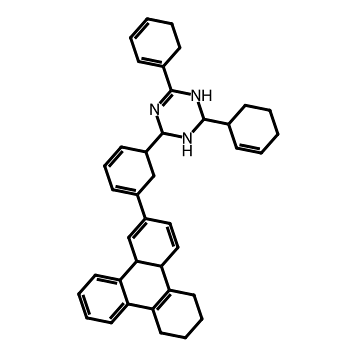 C1=CCCC(C2=NC(C3C=CC=C(C4=CC5c6ccccc6C6=C(CCCC6)C5C=C4)C3)NC(C3C=CCCC3)N2)=C1